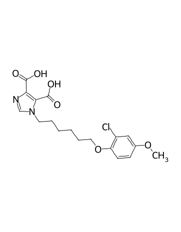 COc1ccc(OCCCCCCn2cnc(C(=O)O)c2C(=O)O)c(Cl)c1